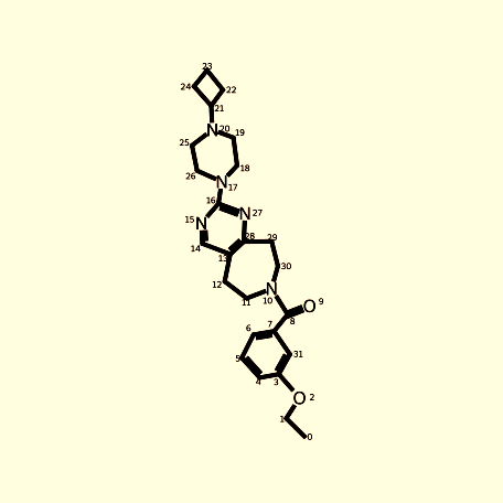 CCOc1cccc(C(=O)N2CCc3cnc(N4CCN(C5CCC5)CC4)nc3CC2)c1